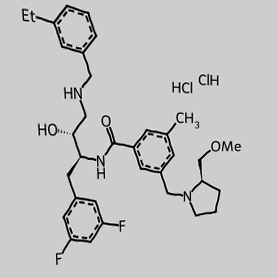 CCc1cccc(CNC[C@@H](O)[C@H](Cc2cc(F)cc(F)c2)NC(=O)c2cc(C)cc(CN3CCC[C@@H]3COC)c2)c1.Cl.Cl